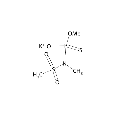 COP([O-])(=S)N(C)S(C)(=O)=O.[K+]